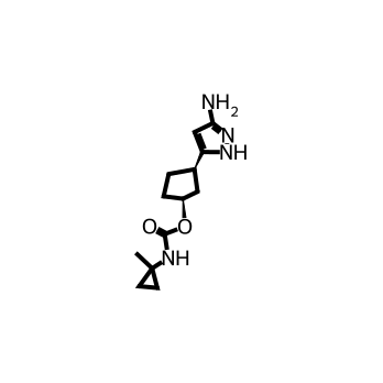 CC1(NC(=O)O[C@H]2CC[C@@H](c3cc(N)n[nH]3)C2)CC1